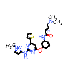 CN(C)C/C=C/C(=O)Nc1cccc(Oc2cc(-c3cccs3)nc(Nc3ccn(C)n3)n2)c1